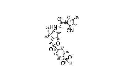 CC1(C)[C@H](CS(=O)(=O)c2ccc(S(C)(=O)=O)cc2)CC[C@]1(C)NCC(=O)N1C[C@@H](F)C[C@H]1C#N